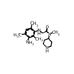 Cc1cc(C)c(NCC(=O)N(C)C2CCNCC2)c(C)c1N